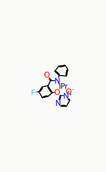 CC(C)N(C(=O)c1cc(F)ccc1Oc1nccc[n+]1[O-])c1ccccc1